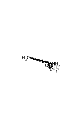 CCCCCCCCCCCCCCC(CCN)C(=O)N(CC)CC